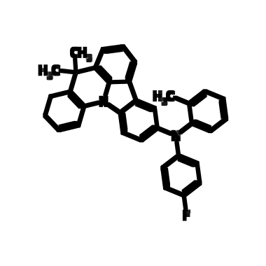 Cc1ccccc1N(c1ccc(F)cc1)c1ccc2c(c1)c1cccc3c1n2C1=C(CCC=C1)C3(C)C